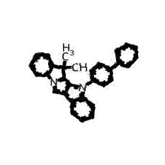 CC1(C)c2ccccc2-n2cc3c4ccccc4n(-c4ccc(-c5ccccc5)cc4)c3c21